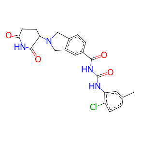 Cc1ccc(Cl)c(NC(=O)NC(=O)c2ccc3c(c2)CN(C2CCC(=O)NC2=O)C3)c1